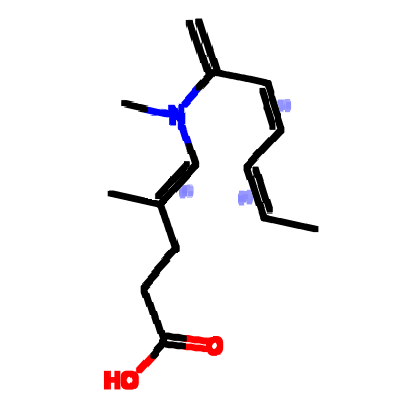 C=C(/C=C\C=C/C)N(C)/C=C(\C)CCC(=O)O